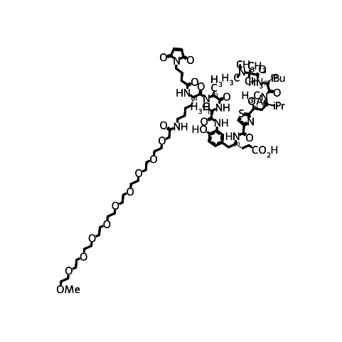 CC[C@H](C)[C@H](NC(=O)C(C)(C)N(C)C)C(=O)N(C)[C@H](C[C@@H](OC(C)=O)c1nc(C(=O)N[C@H](CCC(=O)O)Cc2ccc(O)c(NC(=O)[C@H](C)NC(=O)[C@H](C)NC(=O)[C@H](CCCCNC(=O)COCCOCCOCCOCCOCCOCCOCCOCCOCCOC)NC(=O)CCCN3C(=O)C=CC3=O)c2)cs1)C(C)C